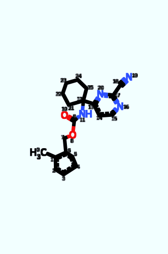 Cc1ccccc1COC(=O)NC1(c2ccnc(C#N)n2)CCCCC1